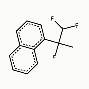 CC(F)([C](F)F)c1cccc2ccccc12